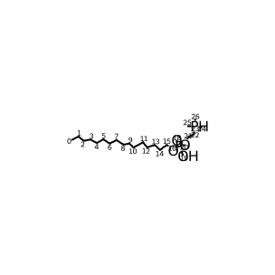 CCCCCCCCCCCCCCCCOP(=O)(O)OCC[PH](C)(C)C